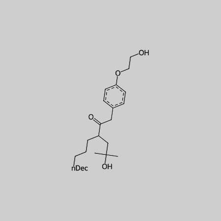 CCCCCCCCCCCCCC(CC(C)(C)O)C(=O)Cc1ccc(OCCO)cc1